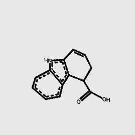 O=C(O)C1CC=Cc2[nH]c3ccccc3c21